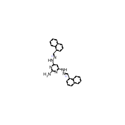 Nc1nc(N/N=C/c2cccc3ccccc23)cc(N/N=C/c2cccc3ccccc23)n1